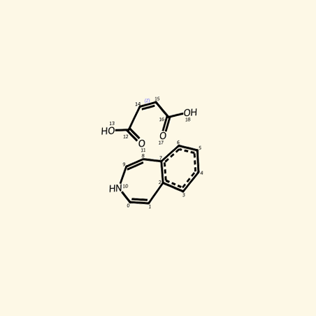 C1=Cc2ccccc2C=CN1.O=C(O)/C=C\C(=O)O